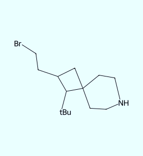 CC(C)(C)C1C(CCBr)CC12CCNCC2